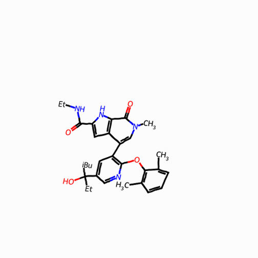 CCNC(=O)c1cc2c(-c3cc(C(O)(CC)C(C)CC)cnc3Oc3c(C)cccc3C)cn(C)c(=O)c2[nH]1